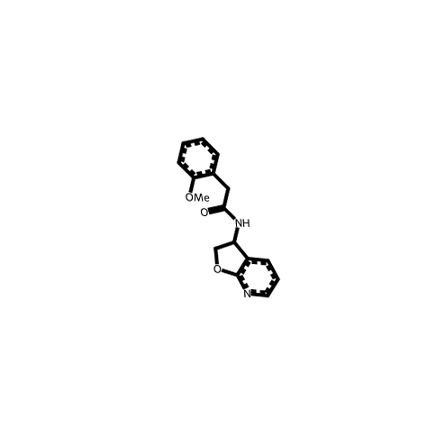 COc1ccccc1CC(=O)NC1COc2ncccc21